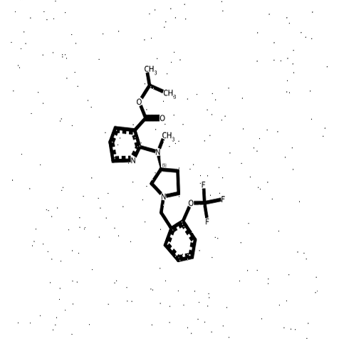 CC(C)OC(=O)c1cccnc1N(C)[C@H]1CCN(Cc2ccccc2OC(F)(F)F)C1